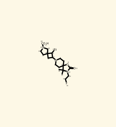 CCC1C(N2CCC3(CC2)OC(=O)N(CCF)C3(C)C)CC12CCN(C(=O)O)C2